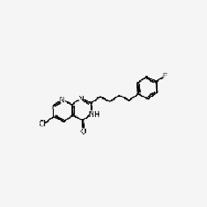 O=c1[nH]c(CCCCc2ccc(F)cc2)nc2ncc(Cl)cc12